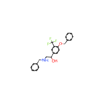 OC(CNCc1ccccc1)c1ccc(OCc2ccccc2)c(C(F)(F)F)c1